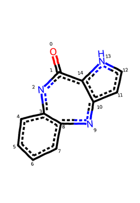 O=c1nc2ccccc2nc2cc[nH]c12